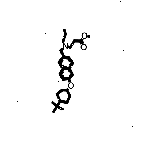 CCCN(CCC(=O)OC)Cc1ccc2cc(OC3CCC(C(C)(C)C)CC3)ccc2c1